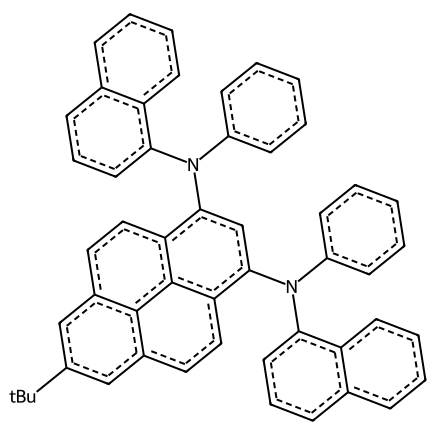 CC(C)(C)c1cc2ccc3c(N(c4ccccc4)c4cccc5ccccc45)cc(N(c4ccccc4)c4cccc5ccccc45)c4ccc(c1)c2c34